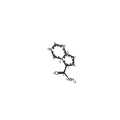 NC(=O)c1ccc2ncncn12